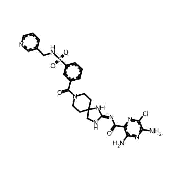 Nc1nc(N)c(C(=O)/N=C2\NCC3(CCN(C(=O)c4cccc(S(=O)(=O)NCc5cccnc5)c4)CC3)N2)nc1Cl